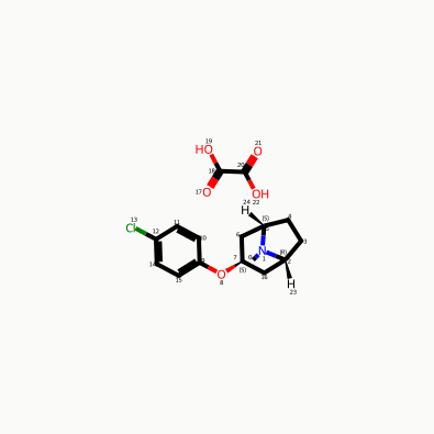 CN1[C@@H]2CC[C@H]1C[C@H](Oc1ccc(Cl)cc1)C2.O=C(O)C(=O)O